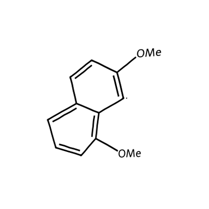 COc1[c]c2c(OC)cccc2cc1